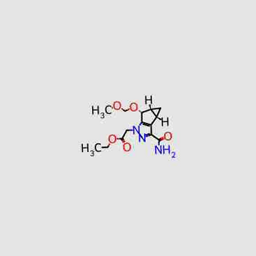 CCOC(=O)Cn1nc(C(N)=O)c2c1[C@H](OCOC)[C@@H]1C[C@H]21